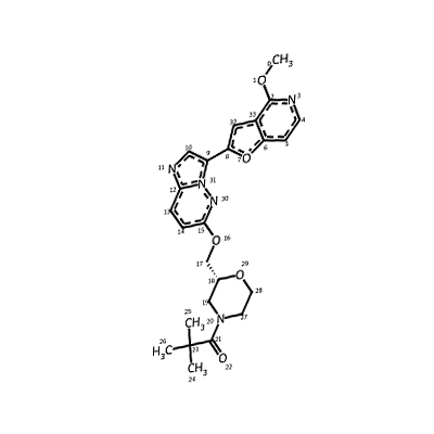 COc1nccc2oc(-c3cnc4ccc(OC[C@H]5CN(C(=O)C(C)(C)C)CCO5)nn34)cc12